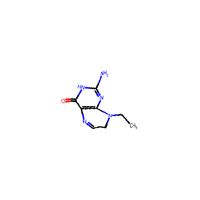 CCN1CC=Nc2c1nc(N)[nH]c2=O